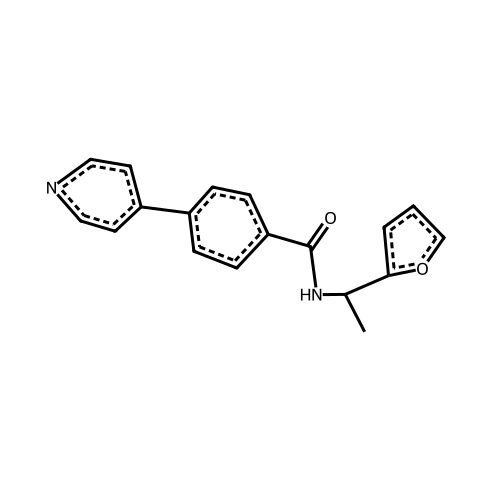 CC(NC(=O)c1ccc(-c2ccncc2)cc1)c1ccco1